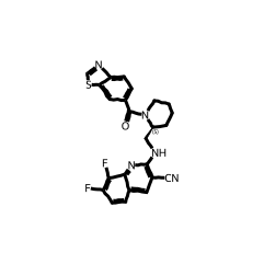 N#Cc1cc2ccc(F)c(F)c2nc1NC[C@@H]1CCCCN1C(=O)c1ccc2ncsc2c1